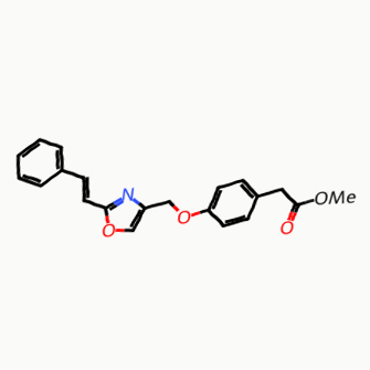 COC(=O)Cc1ccc(OCc2coc(C=Cc3ccccc3)n2)cc1